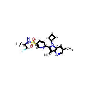 Cc1cnc2c(C#N)c(-c3ccc(S(=O)(=O)N[C@H](C)CF)cn3)n(C3CCC3)c2c1